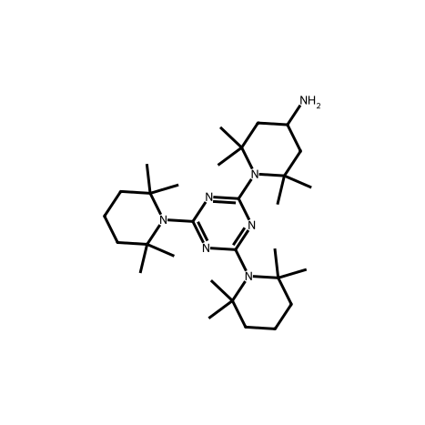 CC1(C)CCCC(C)(C)N1c1nc(N2C(C)(C)CCCC2(C)C)nc(N2C(C)(C)CC(N)CC2(C)C)n1